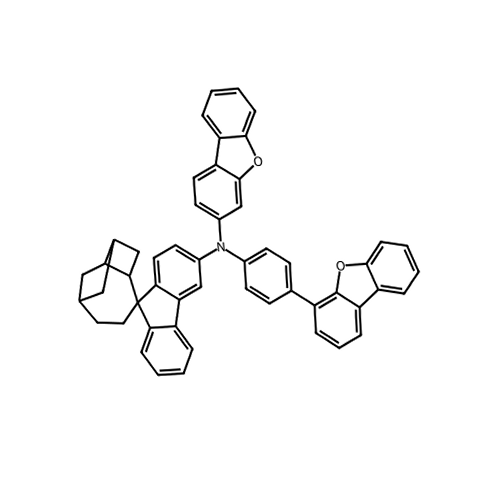 c1ccc2c(c1)-c1cc(N(c3ccc(-c4cccc5c4oc4ccccc45)cc3)c3ccc4c(c3)oc3ccccc34)ccc1C21CCC2CC3CC1C3C2